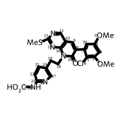 COc1cc(OC)c(Cl)c(-c2cc3cnc(SC)nc3n(CCc3ccc(NC(=O)O)nc3)c2=O)c1